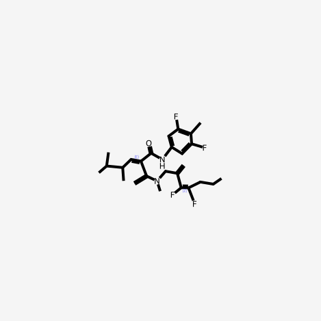 C=C(CN(C)C(=C)/C(=C\C(C)C(C)C)C(=O)Nc1cc(F)c(C)c(F)c1)/C(F)=C(/F)CCC